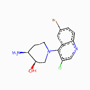 N[C@H]1CCN(c2c(Cl)cnc3ccc(Br)cc23)C[C@H]1O